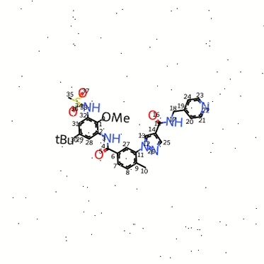 COc1c(NC(=O)c2ccc(C)c(-n3cc(C(=O)NCc4ccncc4)cn3)c2)cc(C(C)(C)C)cc1NS(C)(=O)=O